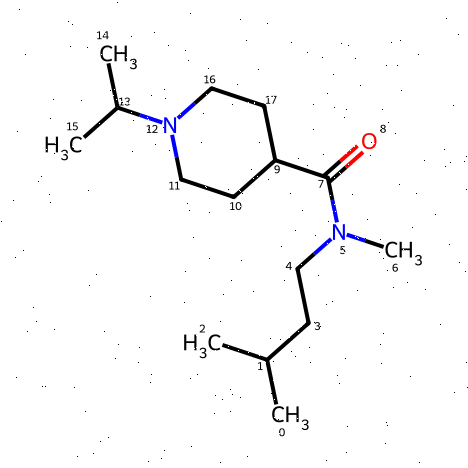 CC(C)CCN(C)C(=O)C1CCN(C(C)C)CC1